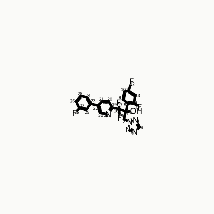 OC(Cn1ncnn1)(c1ccc(F)cc1F)C(F)(F)c1ccc(-c2cccc(F)c2)cn1